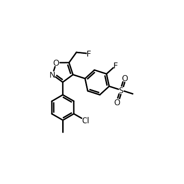 Cc1ccc(-c2noc(CF)c2-c2ccc(S(C)(=O)=O)c(F)c2)cc1Cl